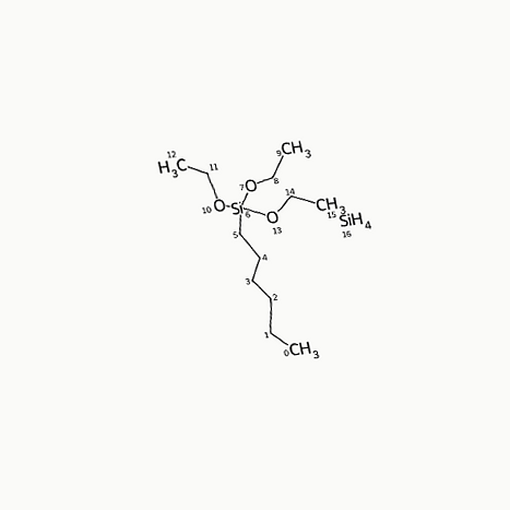 CCCCCC[Si](OCC)(OCC)OCC.[SiH4]